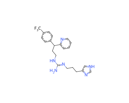 NC(=NCCCc1c[nH]cn1)NCCC(c1ccc(C(F)(F)F)cc1)c1ccccn1